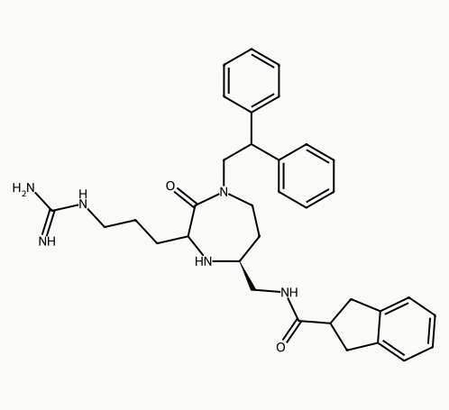 N=C(N)NCCCC1N[C@H](CNC(=O)C2Cc3ccccc3C2)CCN(CC(c2ccccc2)c2ccccc2)C1=O